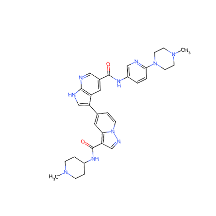 CN1CCC(NC(=O)c2cnn3ccc(-c4c[nH]c5ncc(C(=O)Nc6ccc(N7CCN(C)CC7)nc6)cc45)cc23)CC1